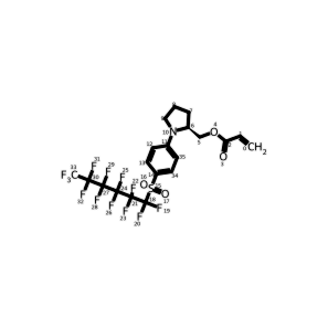 C=CC(=O)OC[C@@H]1CCCN1c1ccc(S(=O)(=O)C(F)(F)C(F)(F)C(F)(F)C(F)(F)C(F)(F)C(F)(F)F)cc1